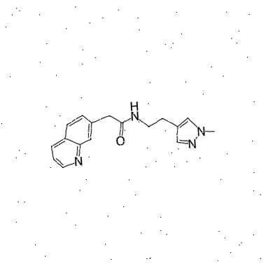 Cn1cc(CCNC(=O)Cc2ccc3cccnc3c2)cn1